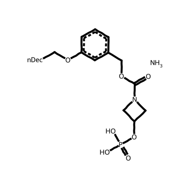 CCCCCCCCCCCOc1cccc(COC(=O)N2CC(OP(=O)(O)O)C2)c1.N